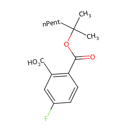 CCCCCC(C)(C)OC(=O)c1ccc(F)cc1C(=O)O